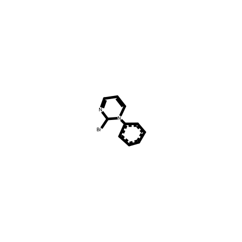 BrC1N=CC=CN1c1ccccc1